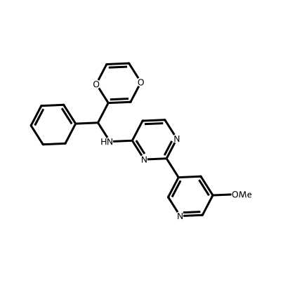 COc1cncc(-c2nccc(NC(C3=CC=CCC3)C3=COC=CO3)n2)c1